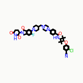 CC1(C)[C@H](NC(=O)c2ccc(N3CCN(CC4CCN(c5cc6c(cc5F)CN(C5CCC(=O)NC5=O)C6=O)CC4)CC3)cc2)C(C)(C)[C@H]1Oc1ccc(C#N)c(Cl)c1